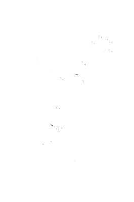 O=C(O)CCC(=O)N[C@H](c1ccc(C(=O)N2C[C@H](O)C[C@H]2C(=O)NCc2nn[nH]n2)[nH]1)C1CCCC1